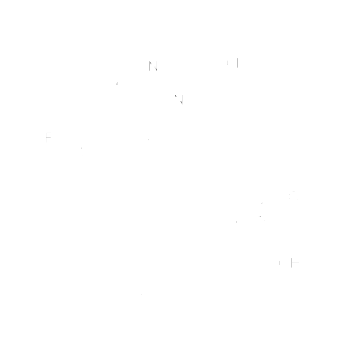 CCn1ncc(C(F)F)c1-c1cc(F)cc(C(=O)O)c1